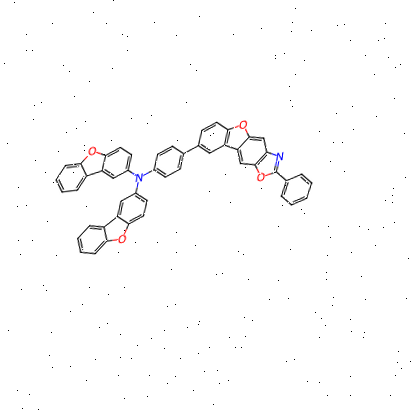 c1ccc(-c2nc3cc4oc5ccc(-c6ccc(N(c7ccc8oc9ccccc9c8c7)c7ccc8oc9ccccc9c8c7)cc6)cc5c4cc3o2)cc1